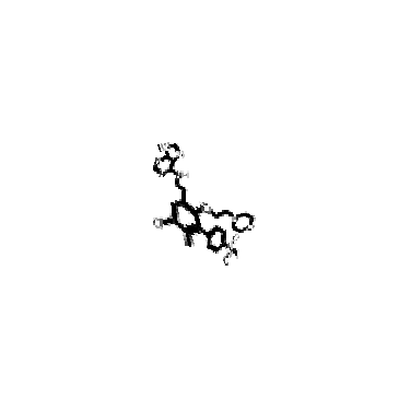 Cc1c(Cl)cc(CCNc2ncnc3[nH]cnc23)c(OCCN2CCOCC2)c1-c1ccc(S(C)(=O)=O)cc1